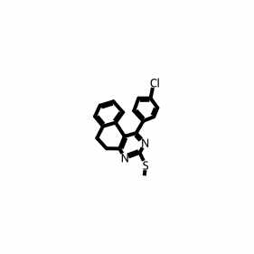 CSc1nc2c(c(-c3ccc(Cl)cc3)n1)-c1ccccc1CC2